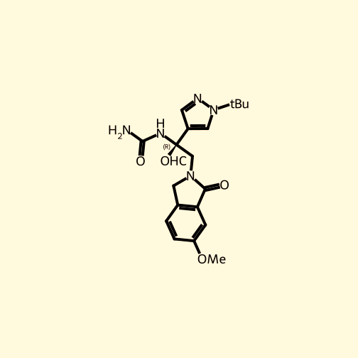 COc1ccc2c(c1)C(=O)N(C[C@](C=O)(NC(N)=O)c1cnn(C(C)(C)C)c1)C2